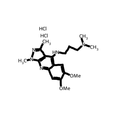 COc1cc2nc3c(c(C)nn3C)c(NCCCN(C)C)c2cc1OC.Cl.Cl